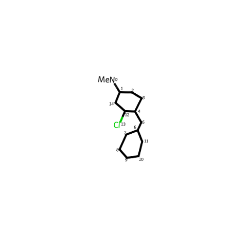 CNC1CCC(CC2CCCCC2)C(Cl)C1